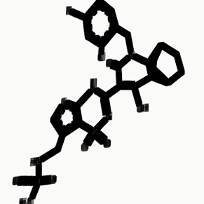 CS(=O)(=O)NCc1csc2c1S(=O)(=O)N=C(C1=C(O)C3C4CCC(CC4)C3N(Cc3ccc(F)cc3Cl)C1=O)N2